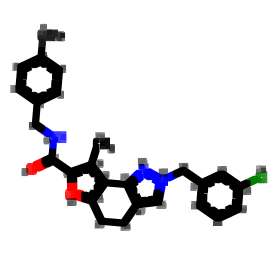 COc1ccc(CNC(=O)c2oc3c(c2C)-c2nn(Cc4cccc(Cl)c4)cc2CC3)cc1